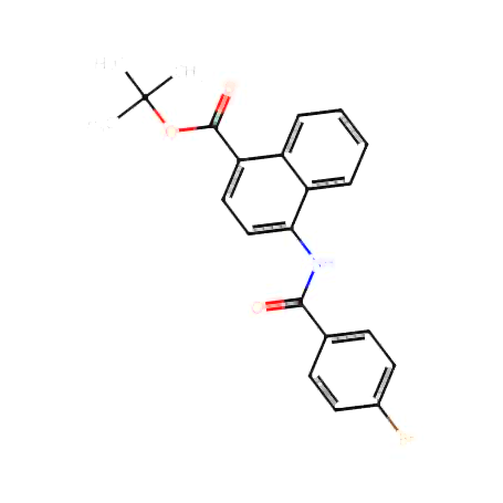 CC(C)(C)OC(=O)c1ccc(NC(=O)c2ccc(Br)cc2)c2ccccc12